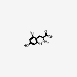 [2H]c1cc(O)cc([2H])c1C[C@H](N)C(=O)O